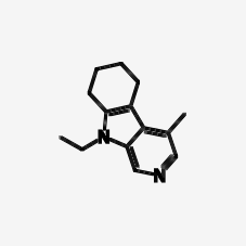 CCn1c2c(c3c(C)cncc31)CCCC2